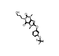 Cn1c(Oc2cccc(OC(F)(F)F)c2)nc2c1c(=O)n(CCCO)c(=O)n2C